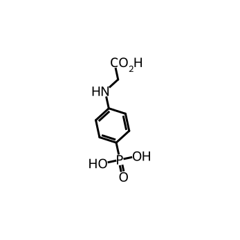 O=C(O)CNc1ccc(P(=O)(O)O)cc1